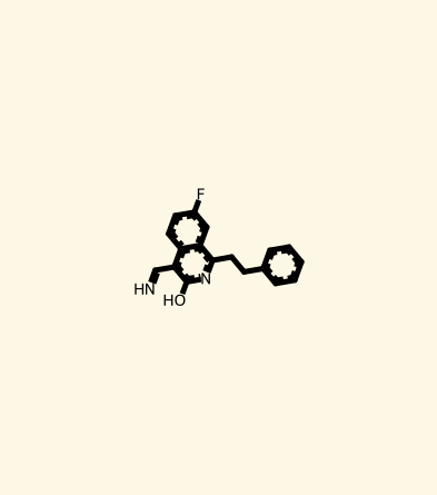 N=Cc1c(O)nc(CCc2ccccc2)c2cc(F)ccc12